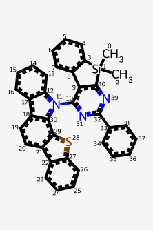 C[Si]1(C)c2ccccc2-c2c(-n3c4ccccc4c4ccc5c6ccccc6sc5c43)nc(-c3ccccc3)nc21